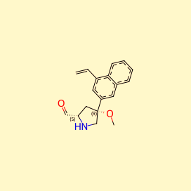 C=Cc1cc([C@@]2(OC)CN[C@H](C=O)C2)cc2ccccc12